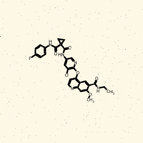 CCNC(=O)c1cc2c(Oc3ncc(NC(=O)C4(C(=O)Nc5ccc(F)cc5)CC4)cc3Cl)ccnc2cc1OC